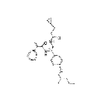 C=C(C(=O)N[C@@H](CNC(=O)CCC1CC1)c1ccc(OCC(C)CCC)cc1)c1ccccc1